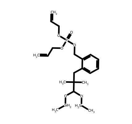 C=CCOP(=O)(OCC=C)OCc1ccccc1CC(C)(C)C(O[SiH2]C)O[SiH2]C